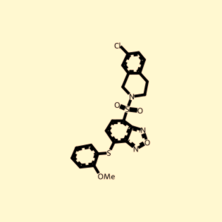 COc1ccccc1Sc1ccc(S(=O)(=O)N2CCc3ccc(Cl)cc3C2)c2nonc12